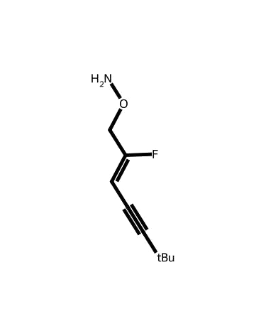 CC(C)(C)C#CC=C(F)CON